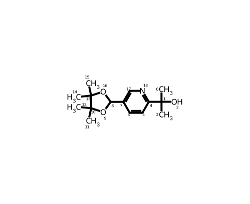 CC(C)(O)c1ccc(C2OC(C)(C)C(C)(C)O2)cn1